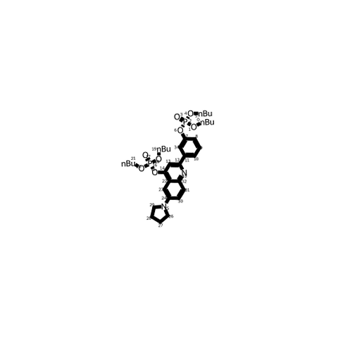 CCCCOP(=O)(OCCCC)Oc1cccc(-c2cc(OP(=O)(OCCCC)OCCCC)c3cc(N4CCCC4)ccc3n2)c1